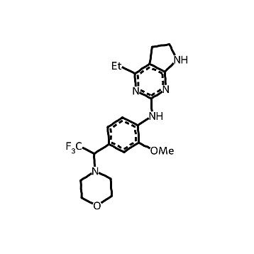 CCc1nc(Nc2ccc(C(N3CCOCC3)C(F)(F)F)cc2OC)nc2c1CCN2